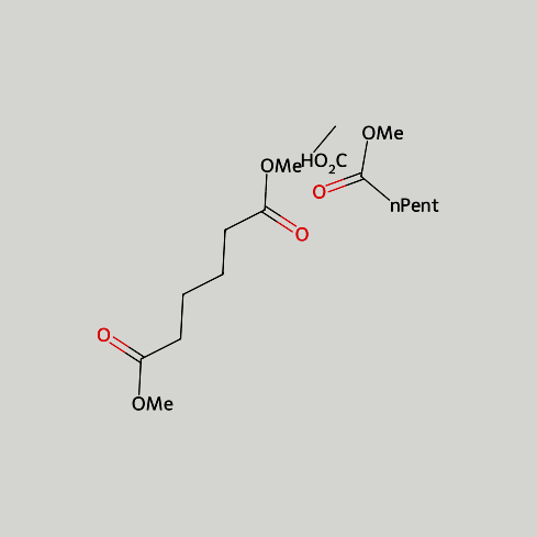 CC(=O)O.CCCCCC(=O)OC.COC(=O)CCCCC(=O)OC